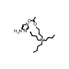 CC(=O)On1ccnc1.CCCC[N+](CCCC)(CCCC)CCCC.N